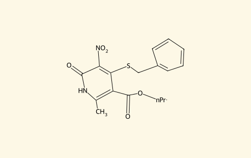 CC[CH]OC(=O)c1c(C)[nH]c(=O)c([N+](=O)[O-])c1SCc1ccccc1